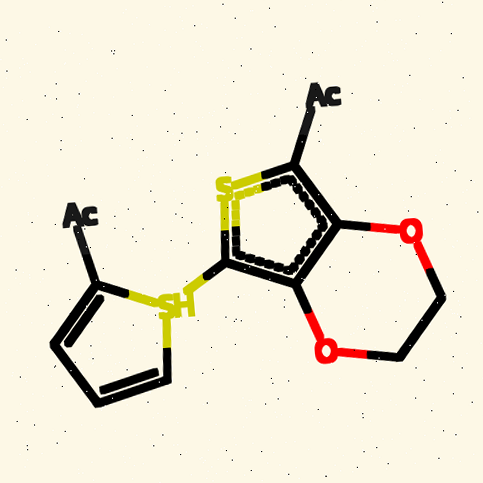 CC(=O)C1=CC=C[SH]1c1sc(C(C)=O)c2c1OCCO2